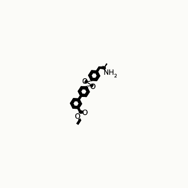 CCOC(=O)c1cccc(-c2ccc(S(=O)(=O)c3ccc(C[C@@H](C)N)cc3)cc2)c1